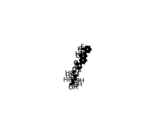 O=C(O)N(C[C@H]1CN(c2ccc3cc(-c4ccccc4C(F)(F)F)[nH]c(=O)c3c2)C(=O)O1)C[C@H](O)[C@@H](O)[C@H](O)[C@H](O)CO